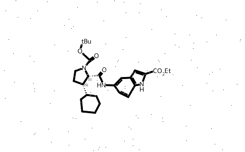 CCOC(=O)c1cc2cc(NC(=O)[C@@H]3[C@H](C4CCCCC4)CCN3C(=O)OC(C)(C)C)ccc2[nH]1